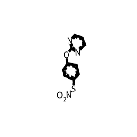 O=[N+]([O-])Sc1ccc(Oc2ncccn2)cc1